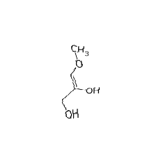 COC=C(O)CO